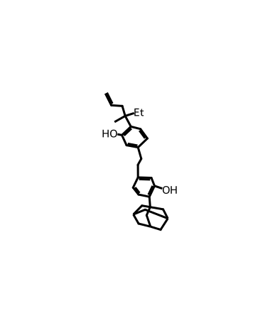 C=CCC(C)(CC)c1ccc(CCc2ccc(C34CC5CC(CC(C5)C3)C4)c(O)c2)cc1O